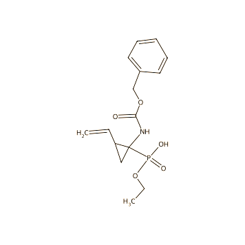 C=CC1CC1(NC(=O)OCc1ccccc1)P(=O)(O)OCC